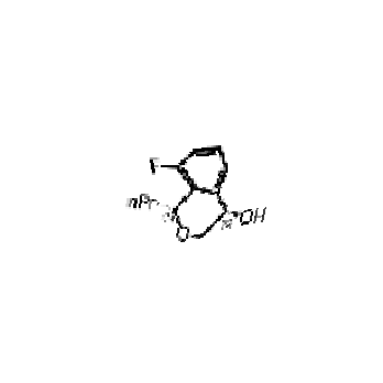 CCC[C@H]1OC[C@H](O)c2cccc(F)c21